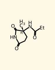 CCC(=O)N[C@]1(C)CCC(=O)NC1=O